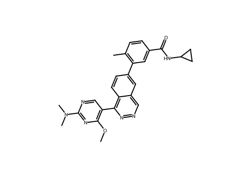 COc1nc(N(C)C)ncc1-c1nncc2cc(-c3cc(C(=O)NC4CC4)ccc3C)ccc12